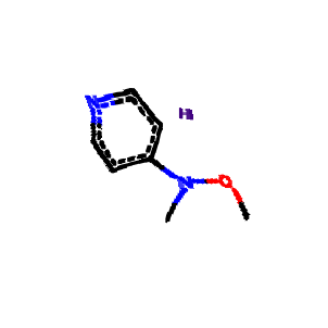 CON(C)c1ccncc1.I